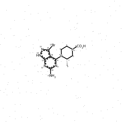 C[C@H]1CN(C(=O)O)CCN1c1nc(N)nc2[nH]nc(Br)c12